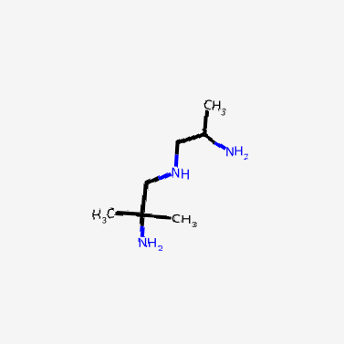 CC(N)CNCC(C)(C)N